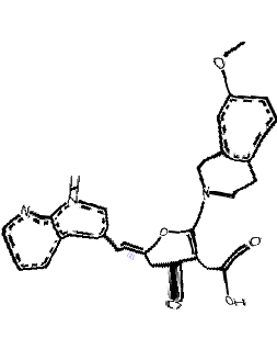 COc1ccc2c(c1)CN(C1=C(C(=O)O)C(=O)/C(=C/c3c[nH]c4ncccc34)O1)CC2